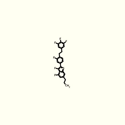 CCCc1cc(F)c2c(F)c(-c3ccc(CCc4cc(F)c(F)c(F)c4)c(F)c3)sc2c1